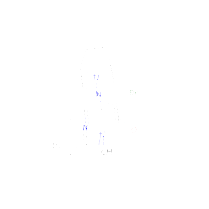 Cc1ccccc1CN1CC2CCC(C1)N2c1cn[nH]c(=O)c1Br